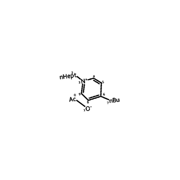 CC(=O)[O-].CCCCCCC[n+]1ccc(CCCC)cc1